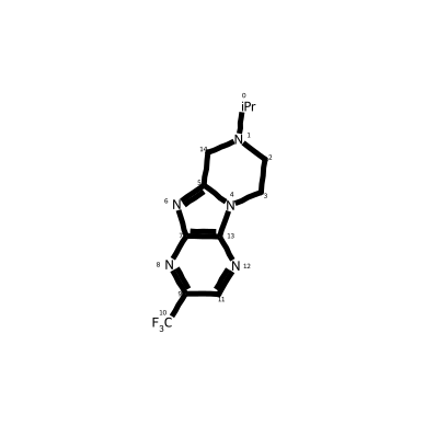 CC(C)N1CCn2c(nc3nc(C(F)(F)F)cnc32)C1